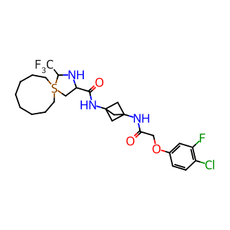 O=C(COc1ccc(Cl)c(F)c1)NC12CC(NC(=O)C3CS4(CCCCCCCC4)C(C(F)(F)F)N3)(C1)C2